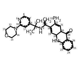 C=C(NC(C)(C)c1ccnc(N2CCOCC2)c1)C1=CC2Nc3ccccc3C(=O)C2C=C1P